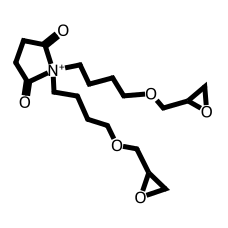 O=C1CCC(=O)[N+]1(CCCCOCC1CO1)CCCCOCC1CO1